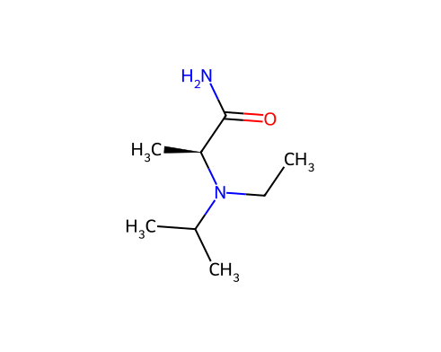 CCN(C(C)C)[C@@H](C)C(N)=O